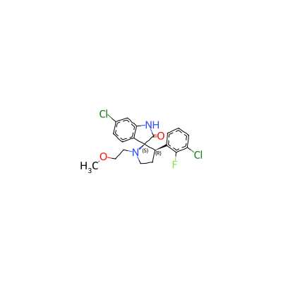 COCCN1CC[C@H](c2cccc(Cl)c2F)[C@]12C(=O)Nc1cc(Cl)ccc12